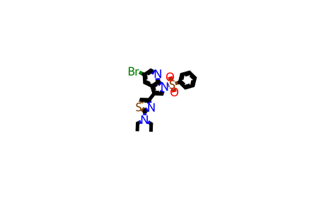 CCN(CC)c1nc(-c2cn(S(=O)(=O)c3ccccc3)c3ncc(Br)cc23)cs1